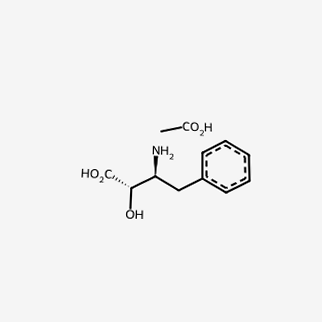 CC(=O)O.N[C@@H](Cc1ccccc1)[C@H](O)C(=O)O